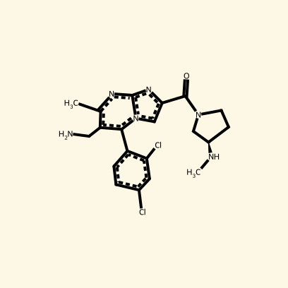 CN[C@@H]1CCN(C(=O)c2cn3c(-c4ccc(Cl)cc4Cl)c(CN)c(C)nc3n2)C1